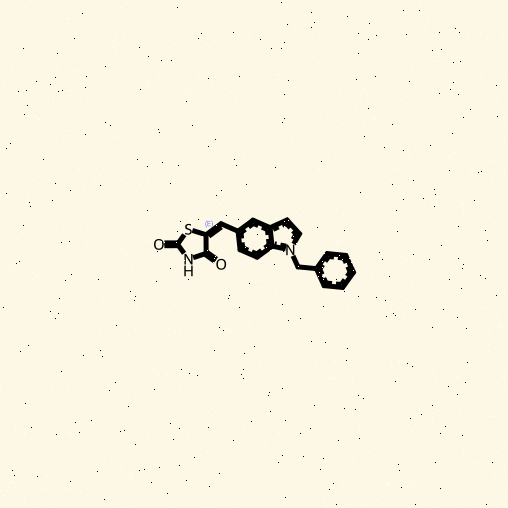 O=C1NC(=O)/C(=C\c2ccc3c(ccn3Cc3ccccc3)c2)S1